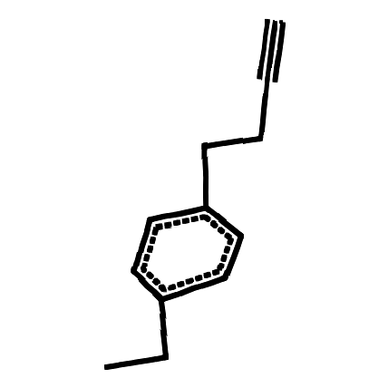 [C]#CCCc1ccc(CC)cc1